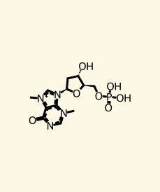 Cn1cnc(=O)c2c1n([C@H]1C[C@H](O)[C@@H](COP(=O)(O)O)O1)c[n+]2C